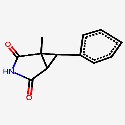 CC12C(=O)NC(=O)C1C2c1ccccc1